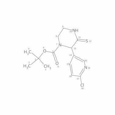 CC(C)(C)OC(=O)N1CCNC(=S)C1c1ccc(Cl)nc1